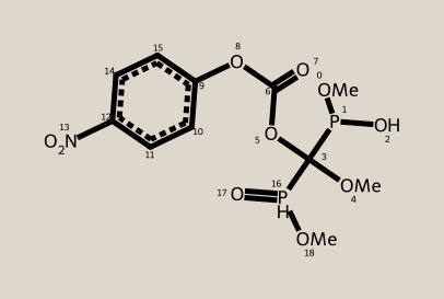 COP(O)C(OC)(OC(=O)Oc1ccc([N+](=O)[O-])cc1)[PH](=O)OC